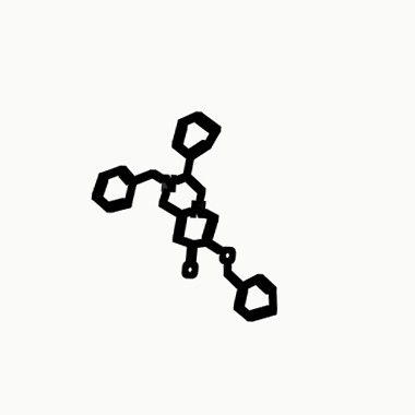 O=c1cc2n(cc1OCc1ccccc1)CC(c1ccccc1)N(Cc1ccccc1)C2